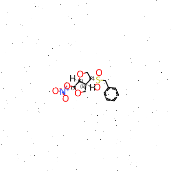 O=[N+]([O-])O[C@@H]1OC[C@H]2[C@@H]1OC[C@@H]2S(=O)(=O)Cc1ccccc1